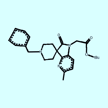 Cc1ccc2c(n1)C1(CCN(Cc3ccccc3)CC1)C(=O)N2CC(=O)OC(C)(C)C